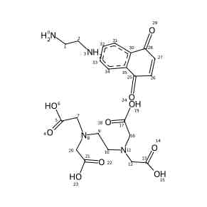 NCCN.O=C(O)CN(CCN(CC(=O)O)CC(=O)O)CC(=O)O.O=C1C=CC(=O)c2ccccc21